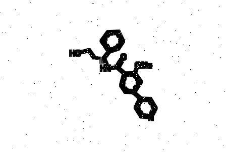 COc1cc(-c2ccncc2)ccc1C(=O)N[C@H](CCO)c1ccccc1